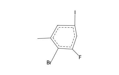 Cc1cc(I)cc(F)c1Br